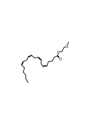 CCCCC/C=C\C/C=C\C/C=C\C/C=C\CCCC(=O)OCCOC